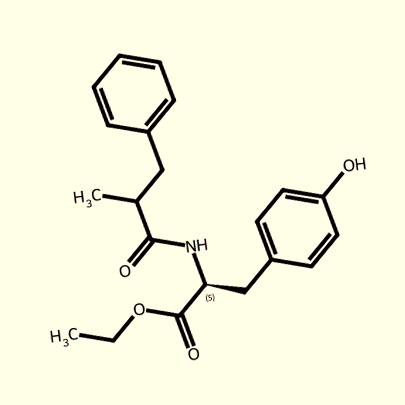 CCOC(=O)[C@H](Cc1ccc(O)cc1)NC(=O)C(C)Cc1ccccc1